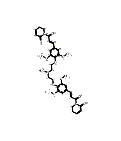 COc1cc(/C=C/C(=O)N2CCC=CC2=O)cc(OC)c1OCCN(C)CCOc1c(OC)cc(/C=C/C(=O)N2CCC=CC2=O)cc1OC